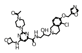 CC(=O)N1CCN(c2nc(NC3COC3)cc(C(=O)NCC(O)CN3CCc4c(ccc(OCc5cnco5)c4Cl)C3)n2)CC1